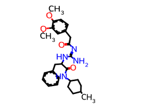 COc1ccc(CC(=O)N=C(N)NC(Cc2ccccc2)C(=O)NC2CCC(C)CC2)cc1OC